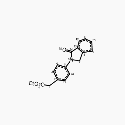 CCOC(=O)Cc1ccc(N2Cc3ccccc3C2=O)cc1